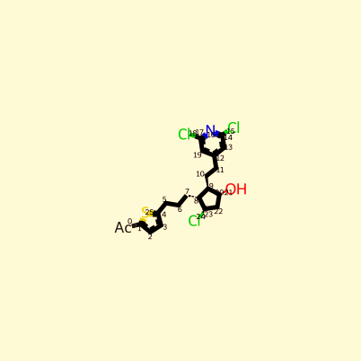 CC(=O)c1ccc(CCC[C@@H]2[C@@H](CCc3cc(Cl)nc(Cl)c3)[C@H](O)C[C@H]2Cl)s1